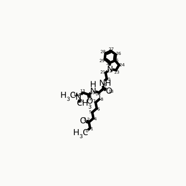 CCC(=O)CCCCC[C@H](NC(=O)CN(C)C)C(=O)NCCN1CCc2ccccc21